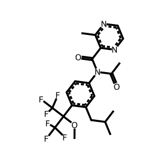 COC(c1ccc(N(C(C)=O)C(=O)c2nccnc2C)cc1CC(C)C)(C(F)(F)F)C(F)(F)F